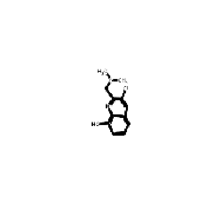 CN(C)Cc1nc2c(O)cccc2cc1Cl